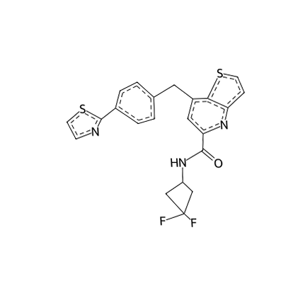 O=C(NC1CC(F)(F)C1)c1cc(Cc2ccc(-c3nccs3)cc2)c2sccc2n1